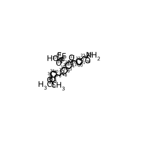 CC1(C)Cc2c(CN3CCC4(CC3)CCN(C(=O)c3cccc(CC(N)=O)c3)CC4)cccc2O1.O=C(O)C(F)(F)F